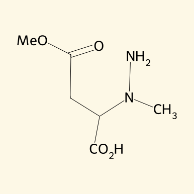 COC(=O)CC(C(=O)O)N(C)N